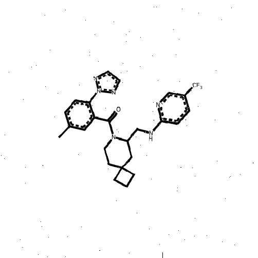 Cc1ccc(-n2nccn2)c(C(=O)N2CCC3(CCC3)CC2CNc2ccc(C(F)(F)F)cn2)c1